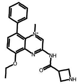 CCOc1ccc(-c2ccccc2)c2c1nc(NC(=O)C1CNC1)c[n+]2C